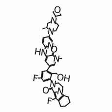 C[C@H]1CN(C2COC2)CCN1c1ccc(Nc2cc(-c3cc(F)cc(N4CCn5c6c(c(F)c5C4=O)CCCC6)c3CO)cn(C)c2=O)nc1